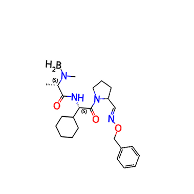 BN(C)[C@@H](C)C(=O)N[C@H](C(=O)N1CCCC1C=NOCc1ccccc1)C1CCCCC1